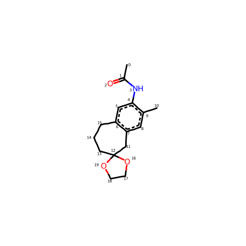 CC(=O)Nc1cc2c(cc1C)CC1(CCC2)OCCO1